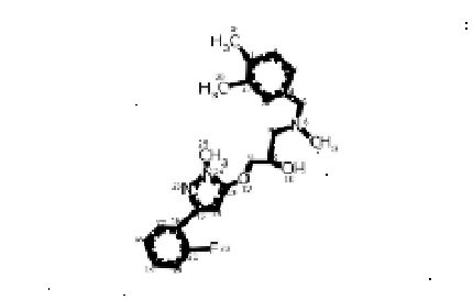 Cc1ccc(CN(C)CC(O)COc2cc(-c3ccccc3F)nn2C)cc1C